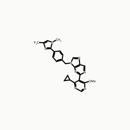 COc1ncnc(C2CC2)c1-c1ncc2ncn(Cc3ccc(-c4nc(C(F)(F)F)cn4C)cc3)c2n1